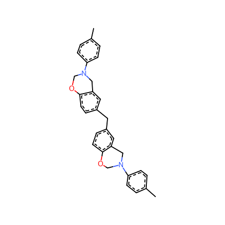 Cc1ccc(N2COc3ccc(Cc4ccc5c(c4)CN(c4ccc(C)cc4)CO5)cc3C2)cc1